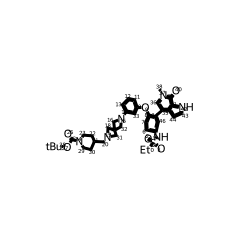 CCS(=O)(=O)Nc1ccc(Oc2cccc(N3CC4(CN(CC5CCN(C(=O)OC(C)(C)C)CC5)C4)C3)c2)c(-c2cn(C)c(=O)c3[nH]ccc23)c1